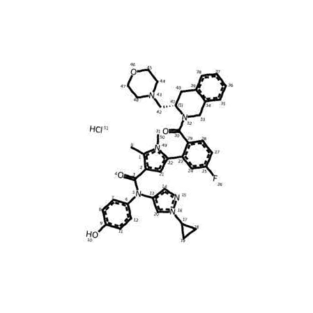 Cc1c(C(=O)N(c2ccc(O)cc2)c2cnn(C3CC3)c2)cc(-c2cc(F)ccc2C(=O)N2Cc3ccccc3C[C@H]2CN2CCOCC2)n1C.Cl